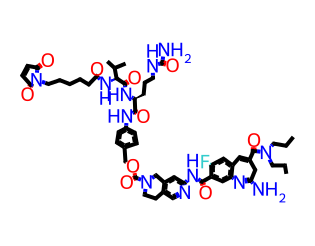 CCCN(CCC)C(=O)C1=Cc2cc(F)c(C(=O)Nc3cc4c(cn3)CCN(C(=O)OCc3ccc(NC(=O)[C@H](CCCNC(N)=O)NC(=O)[C@@H](NC(=O)CCCCCN5C(=O)C=CC5=O)C(C)C)cc3)C4)cc2N=C(N)C1